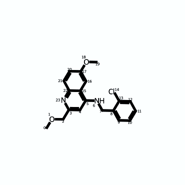 COCc1cc(NCc2ccccc2Cl)c2cc(OC)ccc2n1